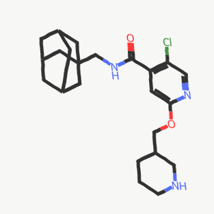 O=C(NCC12CC3CC(CC(C3)C1)C2)c1cc(OCC2CCCNC2)ncc1Cl